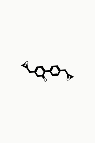 O=C1CC(CC2CO2)=CC=C1c1ccc(CC2CO2)cc1